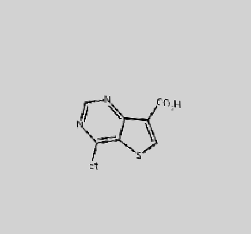 CCc1ncnc2c(C(=O)O)csc12